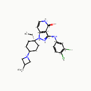 COC1CN([C@H]2CC[C@@](CC#N)(n3nc(Nc4ccc(Cl)c(F)c4)c4c(=O)[nH]ccc43)CC2)C1